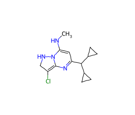 CNC1=CC(C(C2CC2)C2CC2)=NC2=C(Cl)CNN12